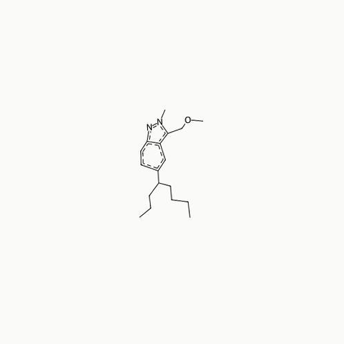 CCCCC(CCC)c1ccc2nn(C)c(COC)c2c1